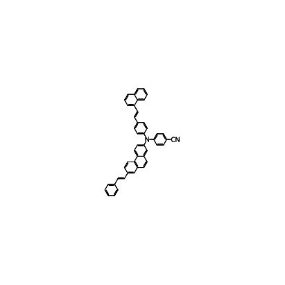 N#Cc1ccc(N(c2ccc(/C=C/c3cccc4ccccc34)cc2)c2ccc3c(ccc4cc(/C=C/c5ccccc5)ccc43)c2)cc1